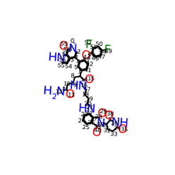 Cn1cc(-c2cc(C(CCCC(N)=O)C(=O)NCCCCNc3cccc4c3C(=O)N(C3CCC(=O)NC3=O)C4=O)ccc2Oc2ccc(F)cc2F)c2cc[nH]c2c1=O